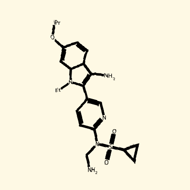 CCN1C(c2ccc(N(CN)S(=O)(=O)C3CC3)nc2)=C(N)C2C=CC(OC(C)C)=CC21